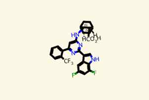 O=C(O)[C@H]1C2CCC(CC2)[C@@H]1Nc1cc(-c2ccccc2C(F)(F)F)nc(-c2c[nH]c3c(F)cc(F)cc23)n1